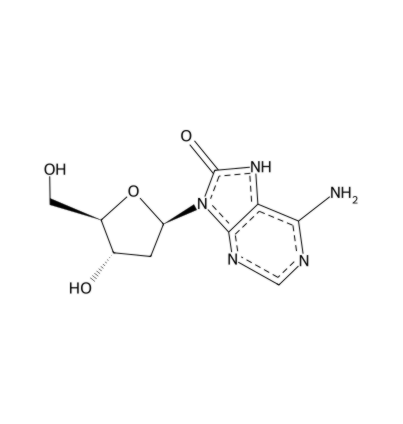 Nc1ncnc2c1[nH]c(=O)n2[C@H]1C[C@H](O)[C@@H](CO)O1